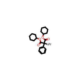 CCCC(C(=O)OC1CCCCC1)(C(=O)OC1CCCCC1)c1ccccc1